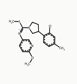 COc1ccc(/N=C(/SC)N2CCC(c3ccc(C)cc3Cl)C2)cn1